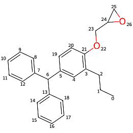 CCCc1cc(C(c2ccccc2)c2ccccc2)ccc1OCC1CO1